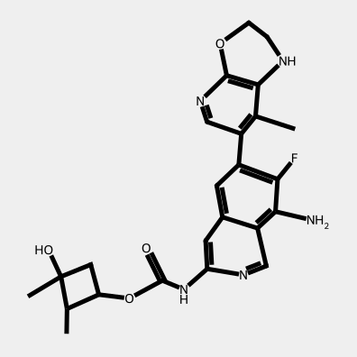 Cc1c(-c2cc3cc(NC(=O)OC4CC(C)(O)C4C)ncc3c(N)c2F)cnc2c1NCCO2